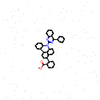 COC(=O)c1ccccc1-c1ccc2c3c(cccc13)N(c1nc(-c3ccccc3)c3ccccc3n1)c1ccccc1-2